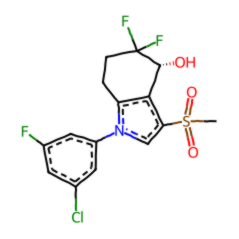 CS(=O)(=O)c1cn(-c2cc(F)cc(Cl)c2)c2c1[C@@H](O)C(F)(F)CC2